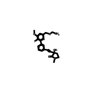 COc1cc(COCN)nc(-c2cccc(C#C[C@]3(O)CCN(C)C3=O)c2)c1F